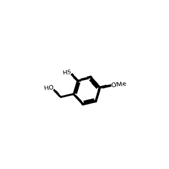 COc1ccc(CO)c(S)c1